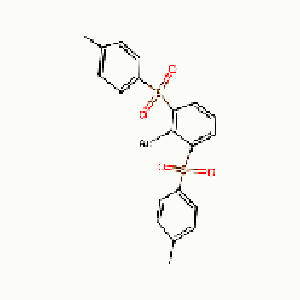 CC(=O)c1c(S(=O)(=O)c2ccc(C)cc2)cccc1S(=O)(=O)c1ccc(C)cc1